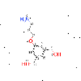 NCCCOc1cc(CO)cc(CO)c1